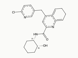 O=C(N[C@H]1CCCC[C@H]1O)c1cc(Cc2ccc(Cl)nc2)c2c(n1)=CCCC=2